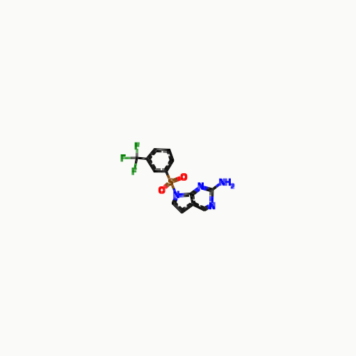 Nc1ncc2ccn(S(=O)(=O)c3cccc(C(F)(F)F)c3)c2n1